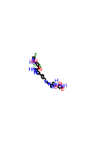 O=C1CC[C@H](NC(=O)N2CCCc3c(N4CC5(CN(CCc6ccc(-c7cnc8[nH]cc(C(=O)c9c(F)ccc(NS(=O)(=O)N%10CC[C@@H](F)C%10)c9F)c8c7)cc6)C5)C4)ccnc32)C(=O)N1